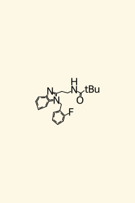 CC(C)(C)C(=O)NCCc1nc2ccccc2n1Cc1ccccc1F